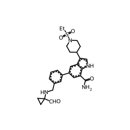 CCS(=O)(=O)N1CCC(c2c[nH]c3c(C(N)=O)cc(-c4cccc(CNC5(C=O)CC5)c4)cc23)CC1